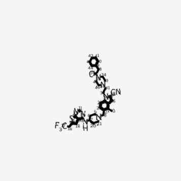 Cc1c(CN2CCC(Nc3ncnc4sc(CC(F)(F)F)cc34)CC2)ccc2c1cc(C#N)n2CCN1CCN(C(=O)Cc2ccccc2)CC1